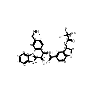 NCc1ccc(C(NC(=O)c2ccc3c(c2)C(OC(=O)C(F)(F)F)CO3)C(=O)c2nc3ccccc3s2)cc1